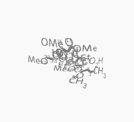 CCCC(=O)OCC.CCOC(CC(=O)OC)OC.CCOCC(CC)C(=O)O.COCCC(=O)O.COCCC(=O)O